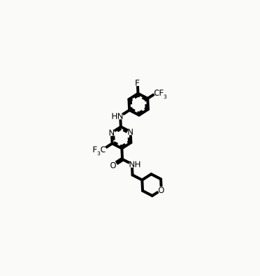 O=C(NCC1CCOCC1)c1cnc(Nc2ccc(C(F)(F)F)c(F)c2)nc1C(F)(F)F